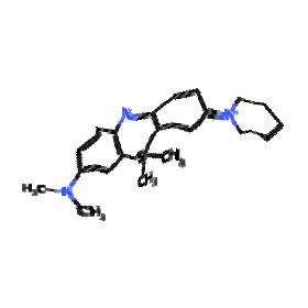 CN(C)c1ccc2c(c1)[Si](C)(C)C1=CC(=[N+]3CCCCC3)C=CC1=N2